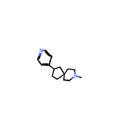 CN1CCC2(CCC(c3ccncc3)C2)CC1